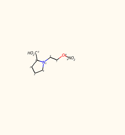 O=C(O)C1CCCN1CCO[N+](=O)[O-]